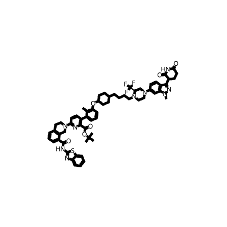 Cc1c(OC2CCC(CCCCN3CCN(c4ccc5c(C6CCC(=O)NC6=O)nn(C)c5c4)C[C@@H]3C(F)(F)F)CC2)cccc1-c1ccc(N2CCc3cccc(C(=O)Nc4nc5ccccc5s4)c3C2)nc1C(=O)OC(C)(C)C